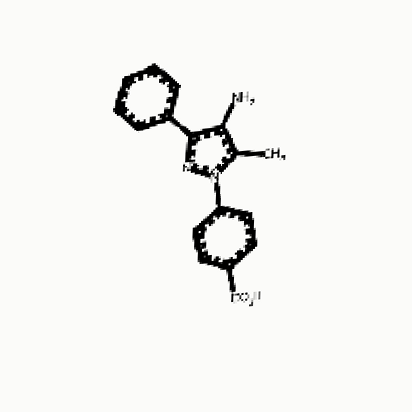 Cc1c(N)c(-c2ccccc2)nn1-c1ccc(C(=O)O)cc1